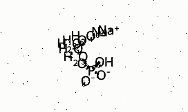 O.O.O.O.O.O=P([O-])([O-])O.[Na+].[Na+]